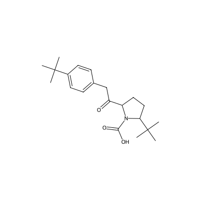 CC(C)(C)c1ccc(CC(=O)C2CCC(C(C)(C)C)N2C(=O)O)cc1